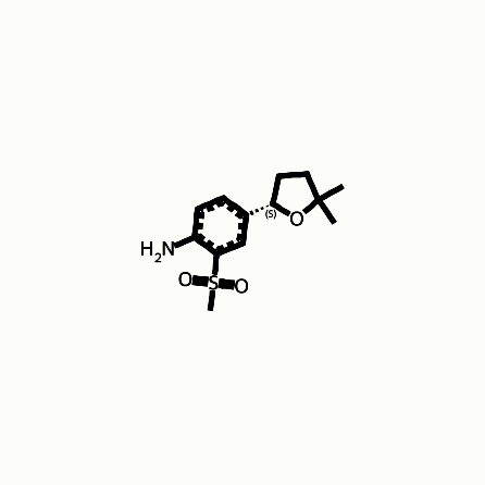 CC1(C)CC[C@@H](c2ccc(N)c(S(C)(=O)=O)c2)O1